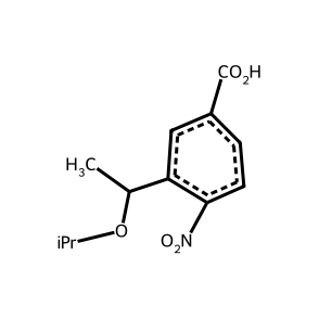 CC(C)OC(C)c1cc(C(=O)O)ccc1[N+](=O)[O-]